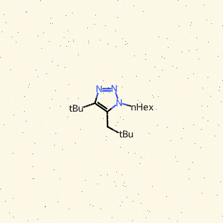 CCCCCCn1nnc(C(C)(C)C)c1CC(C)(C)C